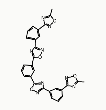 Cc1nc(-c2cccc(-c3noc(-c4cccc(-c5nc(-c6cccc(-c7noc(C)n7)c6)no5)c4)n3)c2)no1